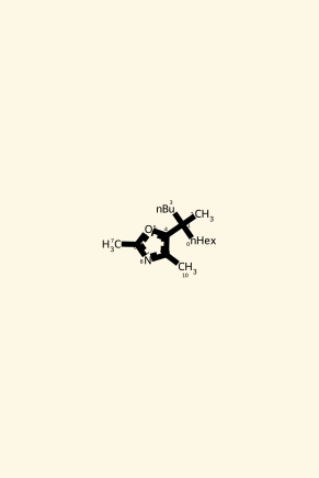 CCCCCCC(C)(CCCC)c1oc(C)nc1C